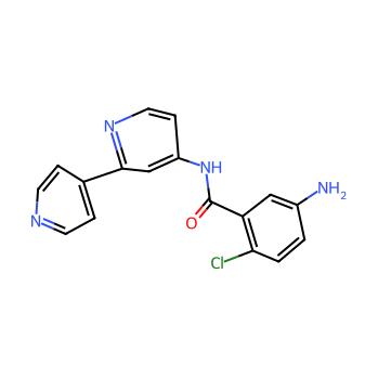 Nc1ccc(Cl)c(C(=O)Nc2ccnc(-c3ccncc3)c2)c1